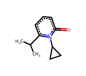 CC(C)c1cccc(=O)n1C1CC1